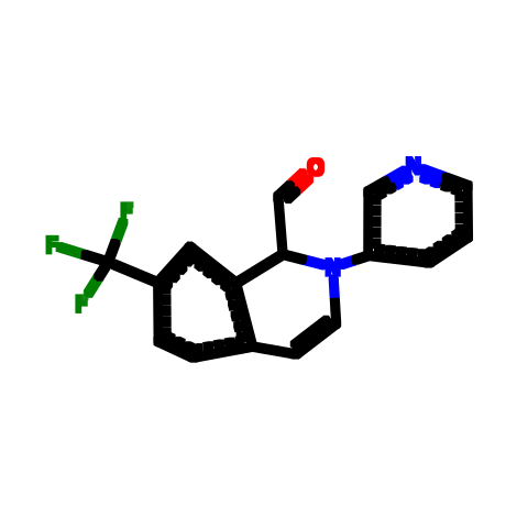 O=CC1c2cc(C(F)(F)F)ccc2C=CN1c1cccnc1